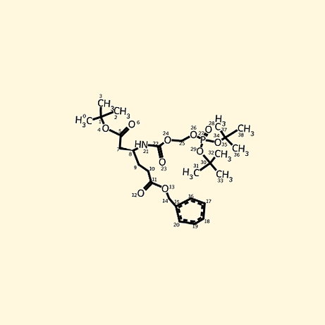 CC(C)(C)OC(=O)C[C@H](CCC(=O)OCc1ccccc1)NC(=O)OCOP(=O)(OC(C)(C)C)OC(C)(C)C